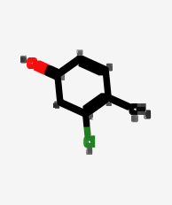 CC1=C(Cl)CC(=O)C=C1